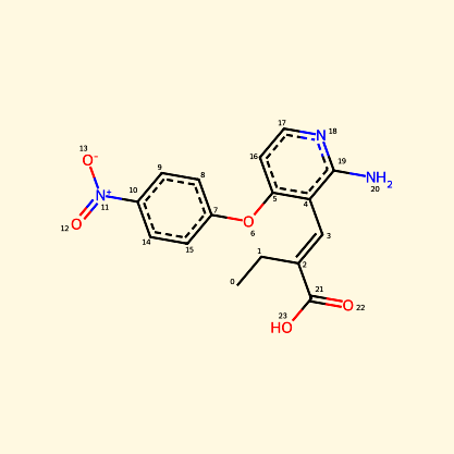 CCC(=Cc1c(Oc2ccc([N+](=O)[O-])cc2)ccnc1N)C(=O)O